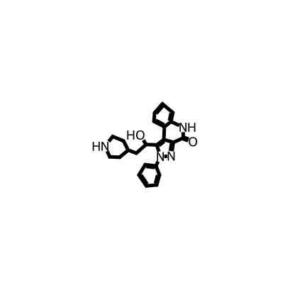 O=c1[nH]c2ccccc2c2c(C(O)CC3CCNCC3)n(-c3ccccc3)nc12